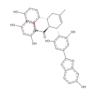 CC1=C[C@H](c2c(O)cc(-c3cc4ccc(O)cc4o3)cc2O)[C@@H](C(=O)c2ccc(O)cc2O)[C@H](c2ccc(O)cc2O)C1